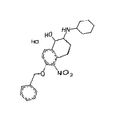 Cl.O=[N+]([O-])c1c(OCc2ccccc2)ccc2c1CCC(NC1CCCCC1)C2O